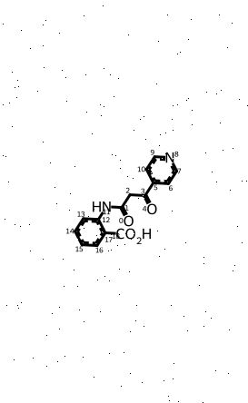 O=C(CC(=O)c1ccncc1)Nc1ccccc1C(=O)O